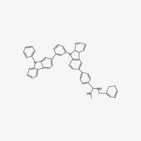 CNC(NCC1=CC=CCC1)c1ccc(-c2ccc3c(c2)C2C=CC=CC2N3c2cccc(-c3ccc4c5ccccc5n(-c5ccccc5)c4c3)c2)cc1